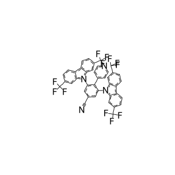 N#Cc1cc(-n2c3cc(C(F)(F)F)ccc3c3ccc(C(F)(F)F)cc32)c(-c2ccncc2)c(-n2c3cc(C(F)(F)F)ccc3c3ccc(C(F)(F)F)cc32)c1